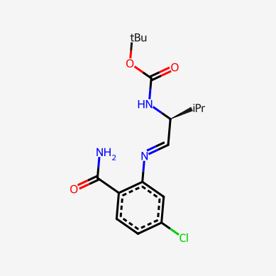 CC(C)[C@@H](C=Nc1cc(Cl)ccc1C(N)=O)NC(=O)OC(C)(C)C